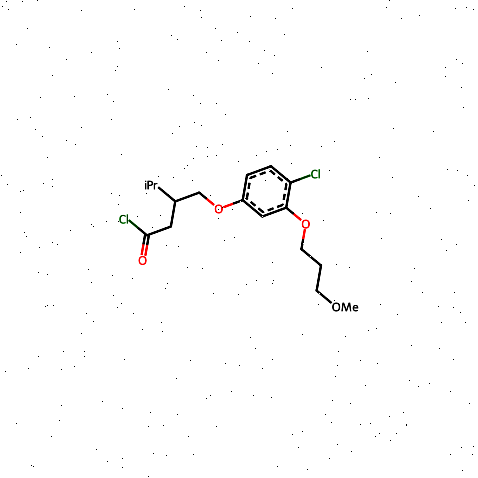 COCCCOc1cc(OCC(CC(=O)Cl)C(C)C)ccc1Cl